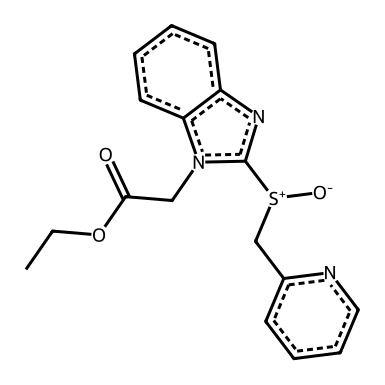 CCOC(=O)Cn1c([S+]([O-])Cc2ccccn2)nc2ccccc21